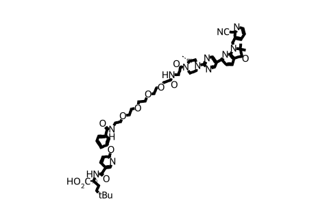 C[C@@H]1CN(c2ncc(-c3ccc4c(n3)N(Cc3cccnc3C#N)C(C)(C)C4=O)cn2)CCN1C(=O)CNC(=O)COCCOCCOCCOCCNC(=O)c1cccc(Oc2ccc(C(=O)N[C@@H](CCC(C)(C)C)C(=O)O)cn2)c1